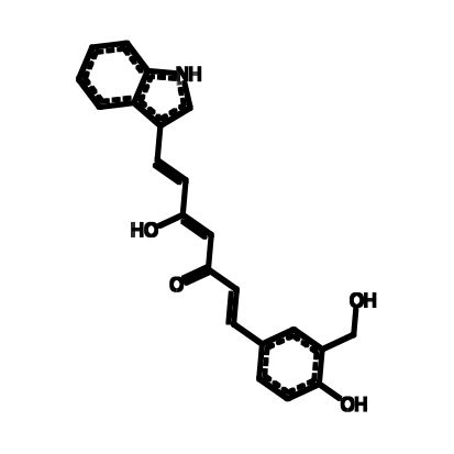 O=C(/C=C(O)/C=C/c1c[nH]c2ccccc12)/C=C/c1ccc(O)c(CO)c1